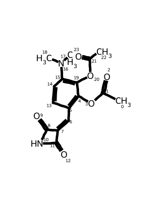 CC(=O)Oc1c(C=C2C(=O)NC2=O)ccc(N(C)C)c1OC(C)=O